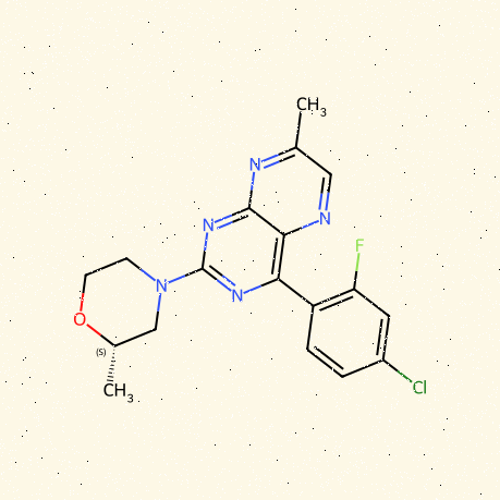 Cc1cnc2c(-c3ccc(Cl)cc3F)nc(N3CCO[C@@H](C)C3)nc2n1